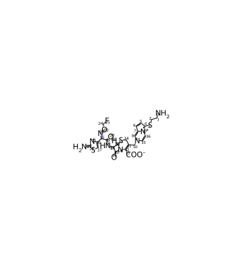 NCCSc1ccc2cn(CC3=C(C(=O)[O-])N4C(=O)[C@@H](NC(=O)/C(=N\OCF)c5csc(N)n5)[C@@H]4SC3)cc[n+]1-2